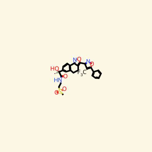 C[C@@](O)(C(=O)NCCS(C)(=O)=O)c1ccc2c(c1)CCc1c-2noc1-c1noc(-c2ccccc2)c1C(F)(F)F